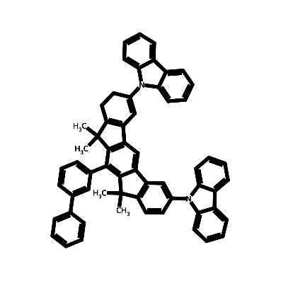 CC1(C)C2=C(C=C(n3c4ccccc4c4ccccc43)CC2)c2cc3c(c(-c4cccc(-c5ccccc5)c4)c21)C(C)(C)c1ccc(-n2c4ccccc4c4ccccc42)cc1-3